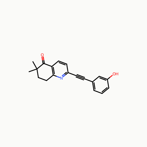 CC1(C)CCc2nc(C#Cc3cccc(O)c3)ccc2C1=O